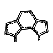 c1cc2ccc3cn[nH]c3c2[nH]1